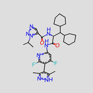 Cc1n[nH]c(C)c1-c1c(F)cc(NC(=O)[C@@H](NC(=O)c2cnnn2C(C)C)C(C2CCCCC2)C2CCCCC2)nc1F